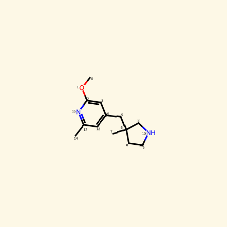 COc1cc(CC2(C)CCNC2)cc(C)n1